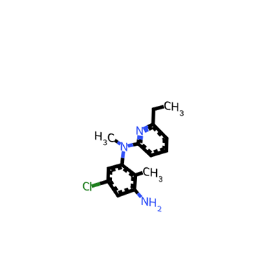 CCc1cccc(N(C)c2cc(Cl)cc(N)c2C)n1